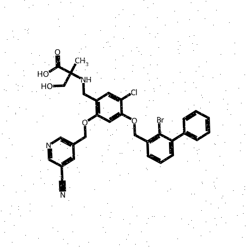 CC(CO)(NCc1cc(Cl)c(OCc2cccc(-c3ccccc3)c2Br)cc1OCc1cncc(C#N)c1)C(=O)O